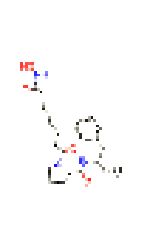 CCOC(=O)C(Cc1ccccc1)NC(=O)[C@@H]1CCCN1C(=O)CCCCCCC(=O)NO